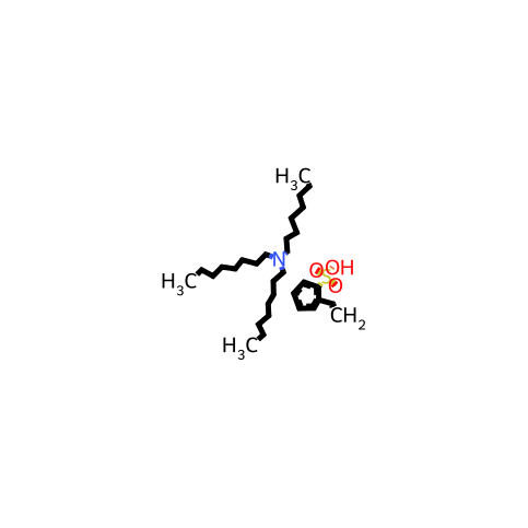 C=Cc1ccccc1S(=O)(=O)O.CCCCCCCCN(CCCCCCCC)CCCCCCCC